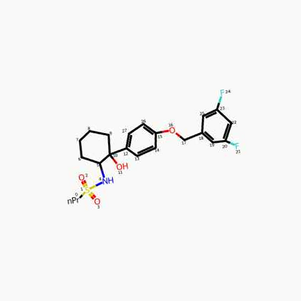 CCCS(=O)(=O)NC1CCCCC1(O)c1ccc(OCc2cc(F)cc(F)c2)cc1